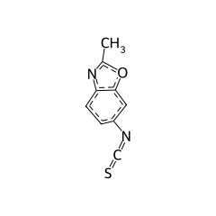 Cc1nc2ccc(N=C=S)cc2o1